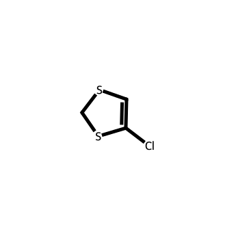 ClC1=CSCS1